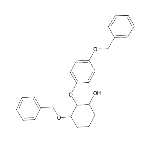 OC1CCCC(OCc2ccccc2)C1Oc1ccc(OCc2ccccc2)cc1